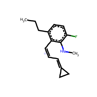 CCCc1ccc(F)c(NC)c1/C=C\C=C1CC1